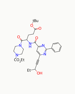 CCOC(=O)N1CCN(C(=O)C(CCC(=O)OC(C)(C)C)NC(=O)c2cc(C#CC(O)CC)nc(-c3ccccc3)n2)CC1